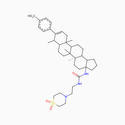 CC1C(c2ccc(C(=O)O)cc2)=CCC2(C)C1CCC1(C)C2CCC2C3CCCC3(NC(=O)NCCN3CCS(=O)(=O)CC3)CC[C@]21C